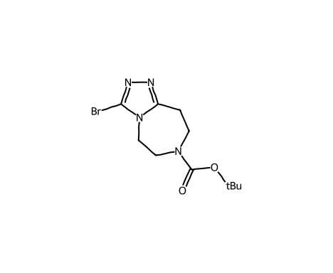 CC(C)(C)OC(=O)N1CCc2nnc(Br)n2CC1